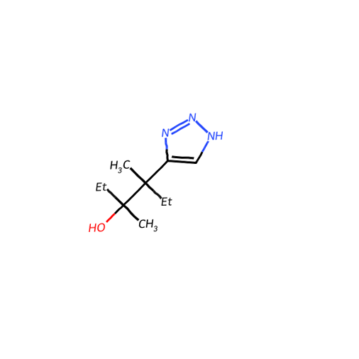 CCC(C)(O)C(C)(CC)c1c[nH]nn1